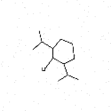 [Li][CH]1C(C(C)C)CCCC1C(C)C